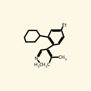 CCc1ccc(C(/C=N\C)=C(C)C)c(C2CCCCC2)c1